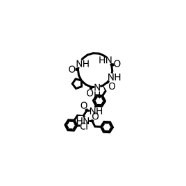 O=C1CNC(=O)[C@@H](Cc2ccc(NC(=O)[C@H](Cc3ccccc3Cl)NC(=O)Cc3ccccc3)cc2)NC(=O)CC2(CCCC2)CC(=O)NCCCCCN1